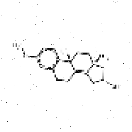 COc1ccc2c(c1)CCC1=C3C[C@@H](O)C[C@@]3(C)CC[C@]12C